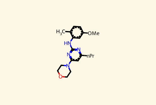 CCCc1cc(N2CCOCC2)nc(Nc2cc(OC)ccc2C)n1